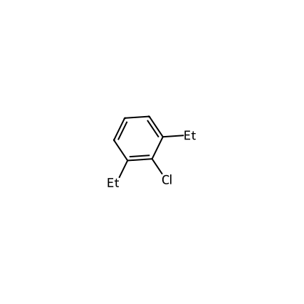 CCc1cccc(CC)c1Cl